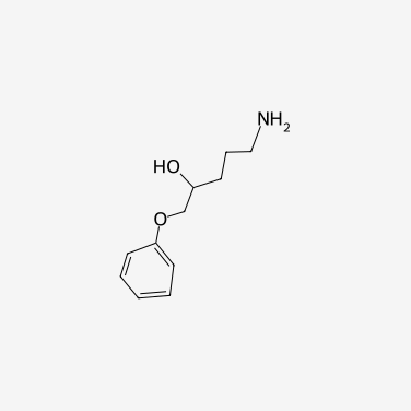 NCCCC(O)COc1ccccc1